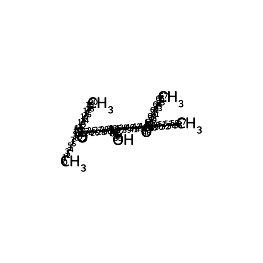 CCCCCCCCCCN(CCCCCCCCCC)C(=O)CCCCCCCCCN(CCO)CCCCCCCCCC(=O)N(CCCCCCCCCC)CCCCCCCCCC